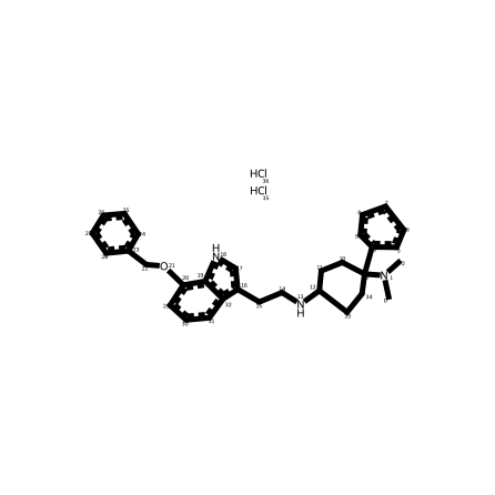 CN(C)C1(c2ccccc2)CCC(NCCc2c[nH]c3c(OCc4ccccc4)cccc23)CC1.Cl.Cl